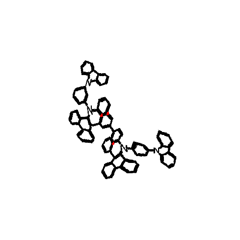 c1ccc(-c2c(N(c3ccc(-c4cccc(-c5c(N(c6ccccc6)c6cccc(-n7c8ccccc8c8ccccc87)c6)c6ccccc6c6ccccc56)c4)cc3)c3ccc(-n4c5ccccc5c5ccccc54)cc3)c3ccccc3c3ccccc23)cc1